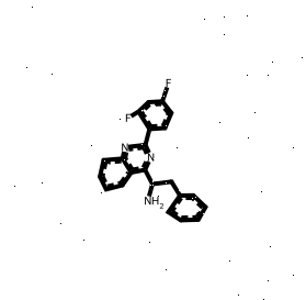 NC(Cc1ccccc1)c1nc(-c2ccc(F)cc2F)nc2ccccc12